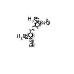 COc1cc(/C=C/Cc2ccc(OCC3CO3)c(OC)c2)ccc1OCC1CO1